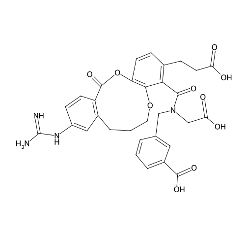 N=C(N)Nc1ccc2c(c1)CCCOc1c(ccc(CCC(=O)O)c1C(=O)N(CC(=O)O)Cc1cccc(C(=O)O)c1)OC2=O